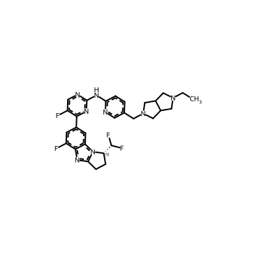 CCN1CC2CN(Cc3ccc(Nc4ncc(F)c(-c5cc(F)c6nc7n(c6c5)[C@H](C(F)F)CC7)n4)nc3)CC2C1